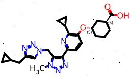 Cn1nnc(-c2ccc(O[C@H]3CCC[C@H](C(=O)O)C3)c(C3CC3)n2)c1Cn1cc(CC2CC2)nn1